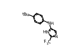 CC(C)(C)c1ccc(Nc2cnc(C(F)(F)F)[nH]2)cc1